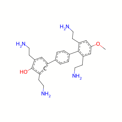 COc1cc(CCN)c(-c2ccc(-c3cc(CCN)c(O)c(CCN)c3)cc2)c(CCN)c1